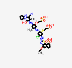 CCCOc1cc2cccc(S(=O)(=O)O)c2c2sc(N=Nc3cc(SCCCS(=O)(=O)O)c(N=Nc4cc(OCCCS(=O)(=O)O)c(N=Nc5c(C)c(C#N)c6nc7ccccc7n6c5O)cc4C)cc3Cl)nc12